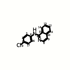 Clc1ccc(Nc2nccc3ccccc23)cc1